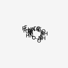 O=C1NCCNC(=O)c2ccc(cc2)Nc2nc(nc(OCC(F)(F)F)n2)NCc2ccc1cc2